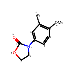 COc1ccc(N2CCOC2=O)cc1C(C)C